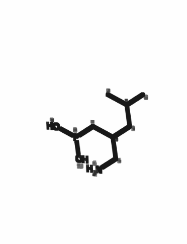 CC(C)CC(CN)CP(O)O